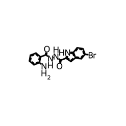 Nc1ccccc1C(=O)NNC(=O)c1cc2cc(Br)ccc2[nH]1